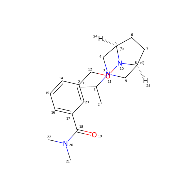 CC(C)N1C[C@H]2CC[C@@H](C1)N2OCc1cccc(C(=O)N(C)C)c1